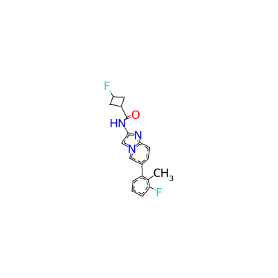 Cc1c(F)cccc1-c1ccc2nc(NC(=O)C3CC(F)C3)cn2c1